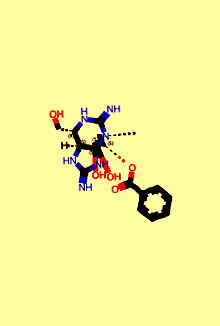 C[C@H]1[C@H](OC(=O)c2ccccc2)C(O)(O)[C@]23NC(=N)N[C@H]2[C@H](CO)NC(=N)N13